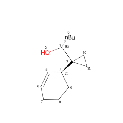 CCCC[C@@H](O)C1([C@@H]2C=CCCC2)CC1